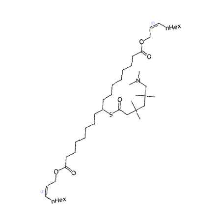 CCCCCC/C=C\COC(=O)CCCCCCCC(CCCCCCCC(=O)OC/C=C\CCCCCC)SC(=O)CC(C)(C)CC(C)(C)CN(C)C